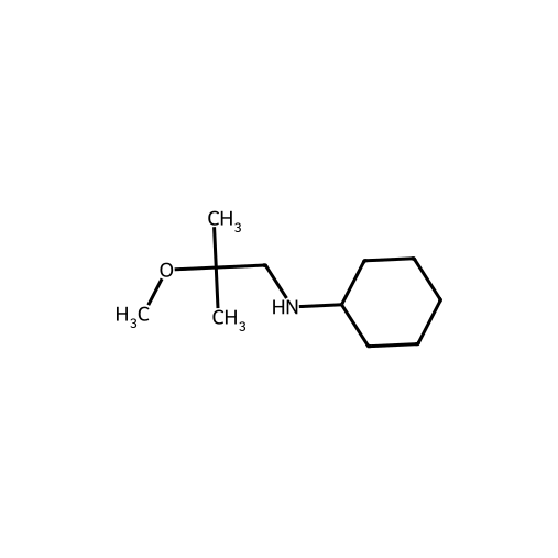 COC(C)(C)CNC1CCCCC1